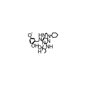 CCC(Nc1nc(NCc2cc(OC)ccc2O)c2ncn(C3CCCCC3)c2n1)C(C)(C)O